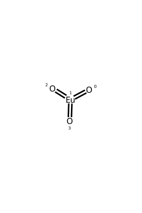 [O]=[Eu](=[O])=[O]